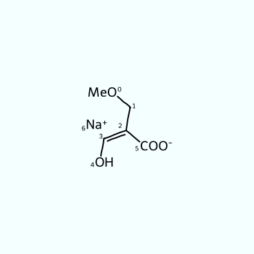 COCC(=CO)C(=O)[O-].[Na+]